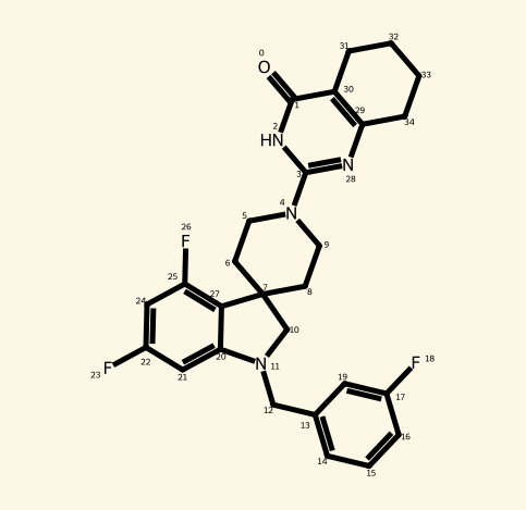 O=c1[nH]c(N2CCC3(CC2)CN(Cc2cccc(F)c2)c2cc(F)cc(F)c23)nc2c1CCCC2